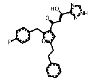 O=C(C=C(O)c1nc[nH]n1)c1cc(CCc2ccccc2)oc1Cc1ccc(F)cc1